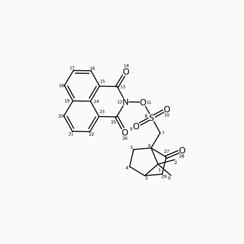 CC1(C)C2CCC1(CS(=O)(=O)ON1C(=O)c3cccc4cccc(c34)C1=O)C(=O)C2